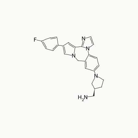 NC[C@@H]1CCN(c2ccc3c(c2)Cn2cc(-c4ccc(F)cc4)cc2-c2nccn2-3)C1